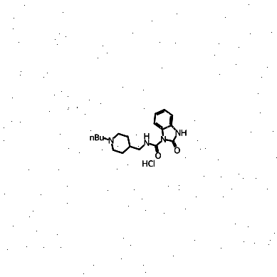 CCCCN1CCC(CNC(=O)n2c(=O)[nH]c3ccccc32)CC1.Cl